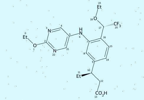 CCOc1ncc(Nc2cc([C@H](CC)CC(=O)O)ccc2[C@H](OCC)C(F)(F)F)cn1